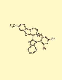 CCc1cc(C(C)C)c(-n2c(-c3c(C)ccc4c3oc3cc(C(F)(F)F)ccc34)nc3ccccc32)c(C(C)C)c1